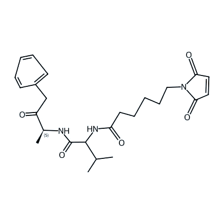 CC(C)C(NC(=O)CCCCCN1C(=O)C=CC1=O)C(=O)N[C@@H](C)C(=O)Cc1ccccc1